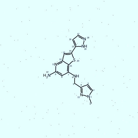 Cn1ccc(CNc2cc(N)nc3cc(-c4ccn[nH]4)sc23)n1